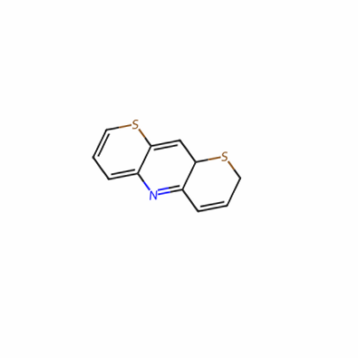 C1=CSC2=CC3SCC=CC3=NC2=C1